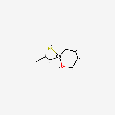 CCC[Si]1(S)CCCCO1